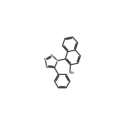 CCCCc1ccc2ccccc2c1-n1nnnc1-c1ccccc1